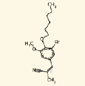 CCCCCCOc1c(Br)cc(/C=C(/C)C#N)cc1OC